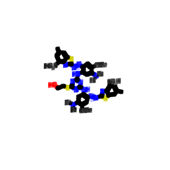 CCN(CC)c1cc(Nc2nc(Nc3cc(N(CC)CC)c(OC)cc3/N=N/c3nc4c(S(=O)(=O)O)cc(C)cc4s3)nc(SCCO)n2)c(/N=N/c2nc3c(S(=O)(=O)O)cc(C)cc3s2)cc1OC